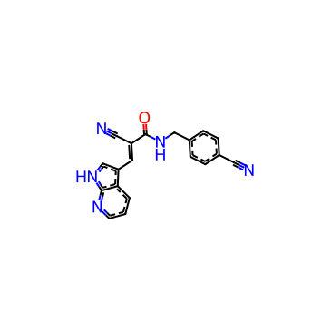 N#C/C(=C\c1c[nH]c2ncccc12)C(=O)NCc1ccc(C#N)cc1